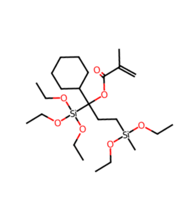 C=C(C)C(=O)OC(CC[Si](C)(OCC)OCC)(C1CCCCC1)[Si](OCC)(OCC)OCC